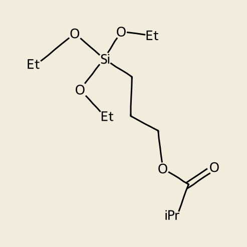 CCO[Si](CCCOC(=O)C(C)C)(OCC)OCC